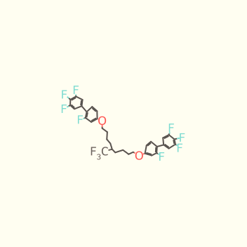 Fc1cc(OCCCCC(CCCCOc2ccc(-c3cc(F)c(F)c(F)c3)c(F)c2)C(F)(F)F)ccc1-c1cc(F)c(F)c(F)c1